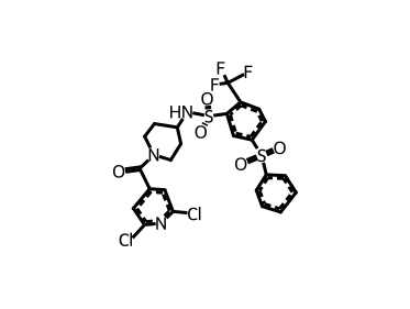 O=C(c1cc(Cl)nc(Cl)c1)N1CCC(NS(=O)(=O)c2cc(S(=O)(=O)c3ccccc3)ccc2C(F)(F)F)CC1